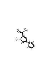 Cn1nc(-n2nccn2)cc1C(=O)O